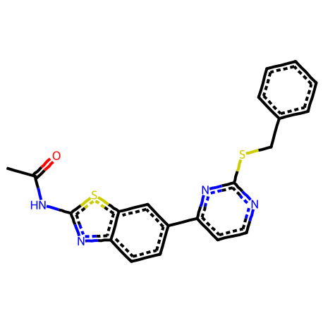 CC(=O)Nc1nc2ccc(-c3ccnc(SCc4ccccc4)n3)cc2s1